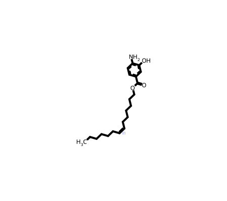 CCCCCC/C=C\CCCCCCOC(=O)c1ccc(N)c(O)c1